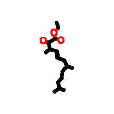 CCOC(=O)C(=O)C(C)C=CCC(C)CCCC(C)C